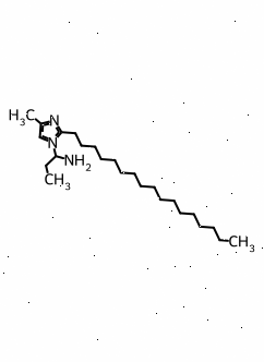 CCCCCCCCCCCCCCCCCc1nc(C)cn1C(N)CC